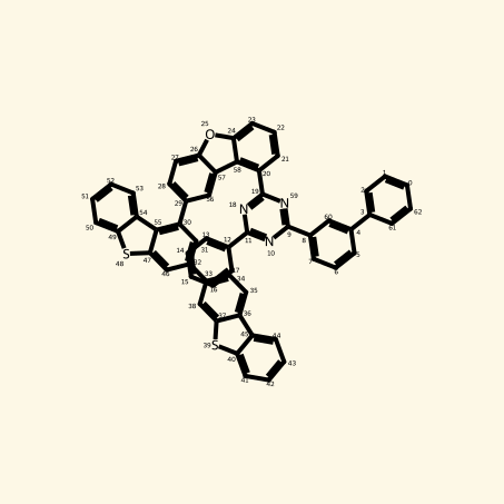 c1ccc(-c2cccc(-c3nc(-c4ccccc4)nc(-c4cccc5oc6ccc(-c7cc(-c8ccc9c(c8)sc8ccccc89)cc8sc9ccccc9c78)cc6c45)n3)c2)cc1